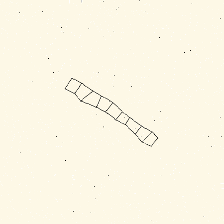 C1CC2C1C1C2C2C1C1C2C2C3C4C5CCC5C4C3C12